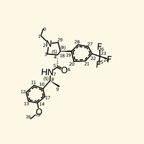 CCN1C[C@@H](C(=O)N[C@@H](C)c2cccc(OC)c2)[C@H](c2ccc(C(F)(F)F)cc2)C1